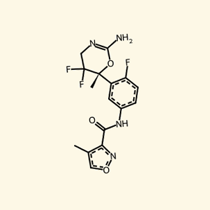 Cc1conc1C(=O)Nc1ccc(F)c([C@@]2(C)OC(N)=NCC2(F)F)c1